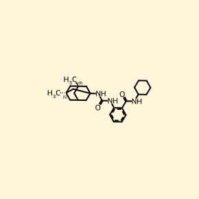 C[C@]12CC3CC(NC(=O)Nc4ccccc4C(=O)NC4CCCCC4)(C1)C[C@@](C)(C3)C2